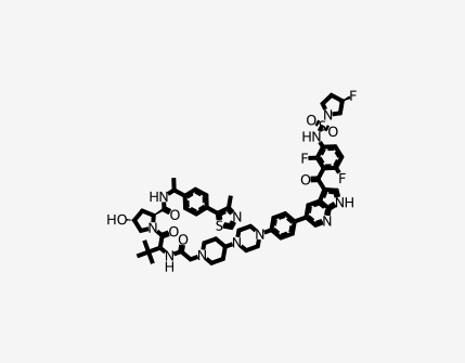 Cc1ncsc1-c1ccc(C(C)NC(=O)[C@@H]2C[C@@H](O)CN2C(=O)C(NC(=O)CN2CCC(N3CCN(c4ccc(-c5cnc6[nH]cc(C(=O)c7c(F)ccc(NS(=O)(=O)N8CC[C@@H](F)C8)c7F)c6c5)cc4)CC3)CC2)C(C)(C)C)cc1